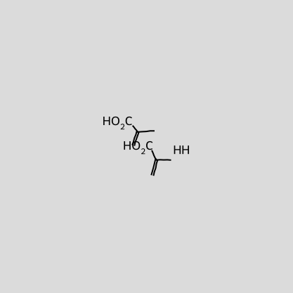 C=C(C)C(=O)O.C=C(C)C(=O)O.[HH]